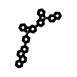 c1ccc2cc(-n3c4ccccc4c4cc(-c5ccc6c(c5)c5ccccc5n6-c5ccc(-c6ccc7c(ccc8c9ccccc9ccc78)c6)cc5)ccc43)ccc2c1